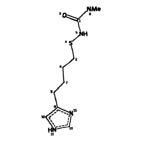 CNC(=O)NSCCCCc1c[nH]cn1